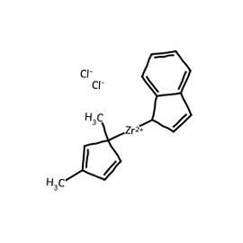 CC1=C[C](C)([Zr+2][CH]2C=Cc3ccccc32)C=C1.[Cl-].[Cl-]